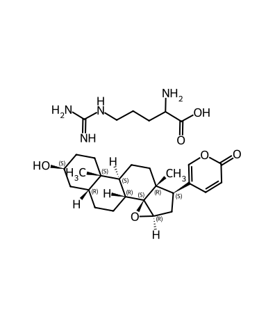 C[C@]12CC[C@H](O)C[C@H]1CC[C@@H]1[C@@H]2CC[C@]2(C)[C@@H](c3ccc(=O)oc3)C[C@H]3O[C@]132.N=C(N)NCCCC(N)C(=O)O